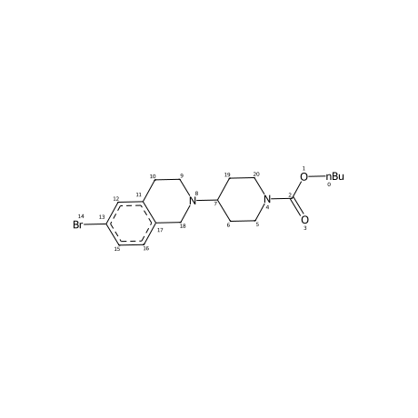 CCCCOC(=O)N1CCC(N2CCc3cc(Br)ccc3C2)CC1